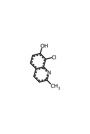 Cc1ccc2ccc(O)c(Cl)c2n1